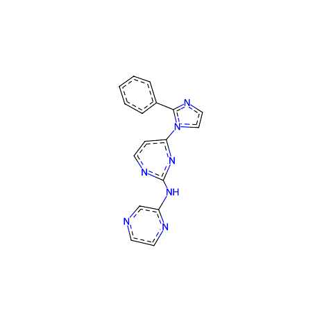 c1ccc(-c2nccn2-c2ccnc(Nc3cnccn3)n2)cc1